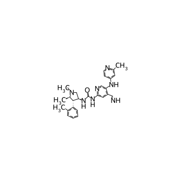 Cc1cc(Nc2cnc(NC(=O)N[C@@H]3CN(C)[C@H](C)[C@H]3c3ccccc3C)cc2C=N)ccn1